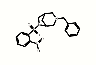 O=[N+]([O-])c1ccccc1S(=O)(=O)N1CC2CC1CN(Cc1ccccc1)C2